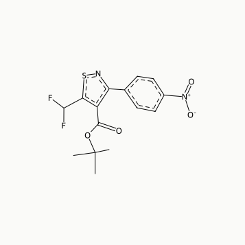 CC(C)(C)OC(=O)c1c(-c2ccc([N+](=O)[O-])cc2)nsc1C(F)F